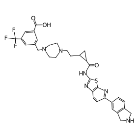 O=C(O)c1cc(CN2CCN(CCC3CC3C(=O)Nc3nc4ccc(-c5ccc6c(c5)CNC6)nc4s3)CC2)cc(C(F)(F)F)c1